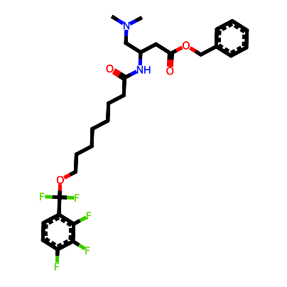 CN(C)CC(CC(=O)OCc1ccccc1)NC(=O)CCCCCCCOC(F)(F)c1ccc(F)c(F)c1F